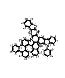 c1ccc(-n2c3ccccc3c3cc(-c4nc5sc6ccccc6c5nc4-n4c5ccc6ccccc6c5c5c6c7ccccc7c7ccccc7c6ccc54)ccc32)cc1